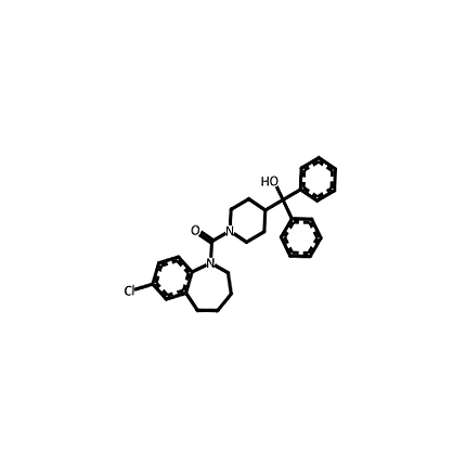 O=C(N1CCC(C(O)(c2ccccc2)c2ccccc2)CC1)N1CCCCc2cc(Cl)ccc21